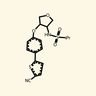 CC(C)S(=O)(=O)NC1COCC1Oc1ccc(-c2ccc(C#N)s2)cc1